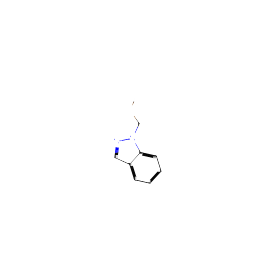 CSCn1ncc2ccccc21